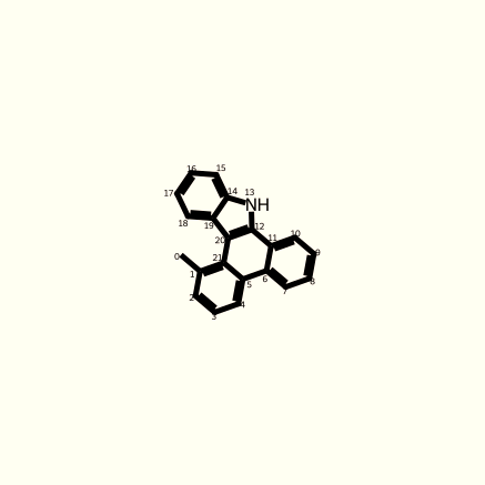 Cc1cccc2c3ccccc3c3[nH]c4ccccc4c3c12